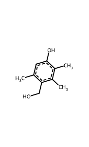 Cc1cc(O)c(C)c(C)c1CO